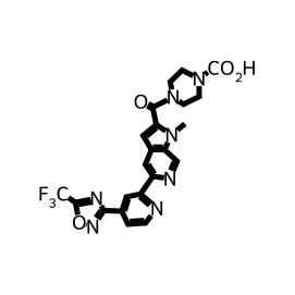 Cn1c(C(=O)N2CCN(C(=O)O)CC2)cc2cc(-c3cc(-c4noc(C(F)(F)F)n4)ccn3)ncc21